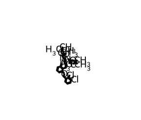 CC(C)(C)OC(=O)N=C(NC(=O)OC(C)(C)C)N1CCc2c(cccc2OCc2cccc(Cl)c2Cl)C1